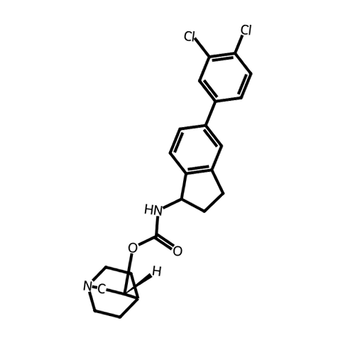 O=C(NC1CCc2cc(-c3ccc(Cl)c(Cl)c3)ccc21)O[C@H]1CN2CCC1CC2